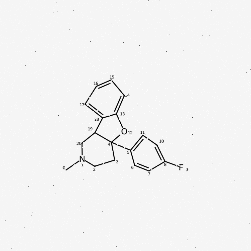 CN1CCC2(c3ccc(F)cc3)Oc3ccccc3C2C1